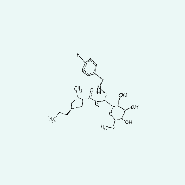 CCC[C@@H]1C[C@@H](C(=O)N[C@H](CNCc2ccc(F)cc2)C2OC(SC)C(O)C(O)C2O)N(C)C1